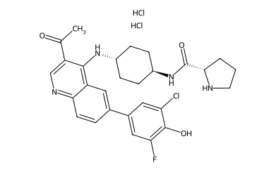 CC(=O)c1cnc2ccc(-c3cc(F)c(O)c(Cl)c3)cc2c1N[C@H]1CC[C@H](NC(=O)[C@@H]2CCCN2)CC1.Cl.Cl